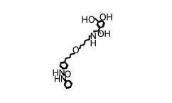 O=C(Nc1ccccc1)Nc1ccc(CCCCOCCCCCCNC[C@H](O)c2ccc(O)c(CO)c2)cc1